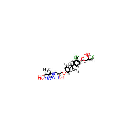 CC1=C(CO)NNN1CC(O)COc1ccc(C(C)(C)c2ccc(OCC(O)CCl)c(Br)c2)cc1